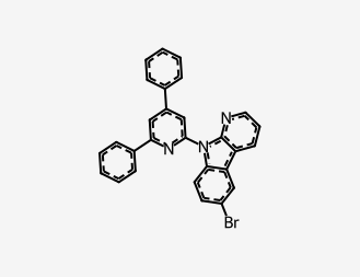 Brc1ccc2c(c1)c1cccnc1n2-c1cc(-c2ccccc2)cc(-c2ccccc2)n1